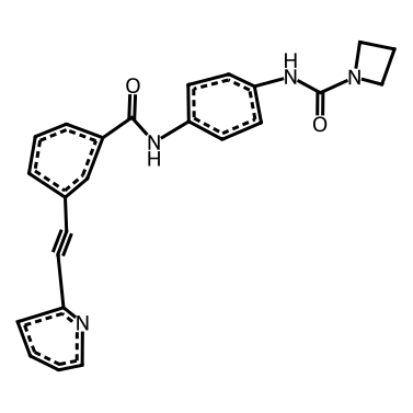 O=C(Nc1ccc(NC(=O)N2CCC2)cc1)c1cccc(C#Cc2ccccn2)c1